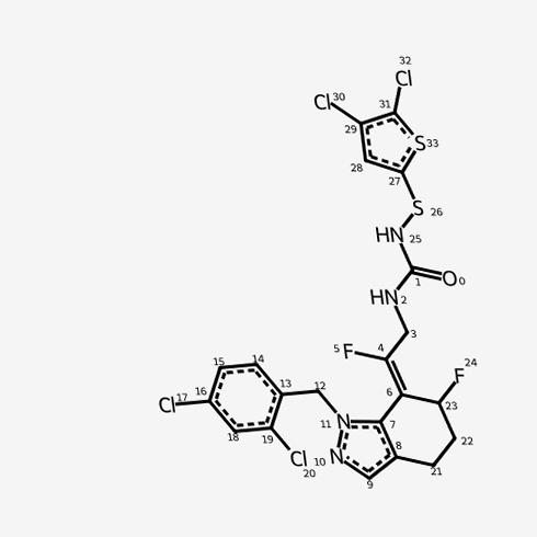 O=C(NC/C(F)=C1/c2c(cnn2Cc2ccc(Cl)cc2Cl)CCC1F)NSc1cc(Cl)c(Cl)s1